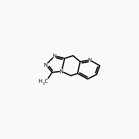 Cc1nnc2n1Cc1cccnc1C2